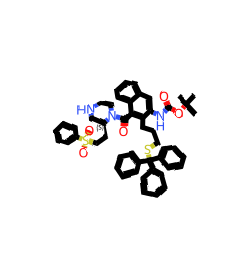 CC(C)(C)OC(=O)Nc1cc2ccccc2c(C(=O)N2CCNC[C@@H]2CCS(=O)(=O)c2ccccc2)c1CCCSC(c1ccccc1)(c1ccccc1)c1ccccc1